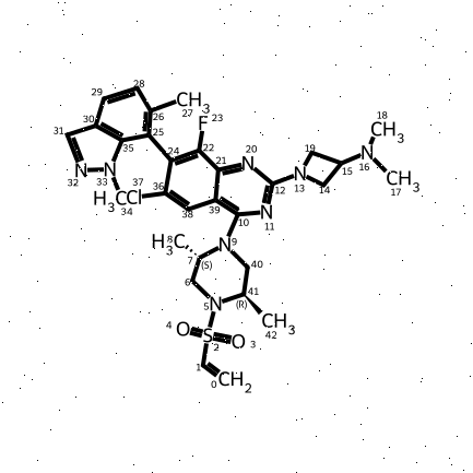 C=CS(=O)(=O)N1C[C@H](C)N(c2nc(N3CC(N(C)C)C3)nc3c(F)c(-c4c(C)ccc5cnn(C)c45)c(Cl)cc23)C[C@H]1C